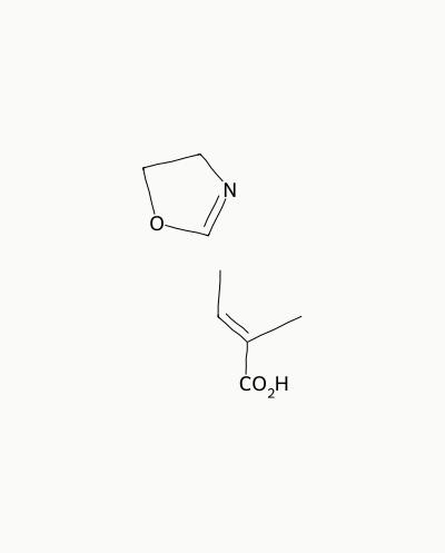 C1=NCCO1.CC=C(C)C(=O)O